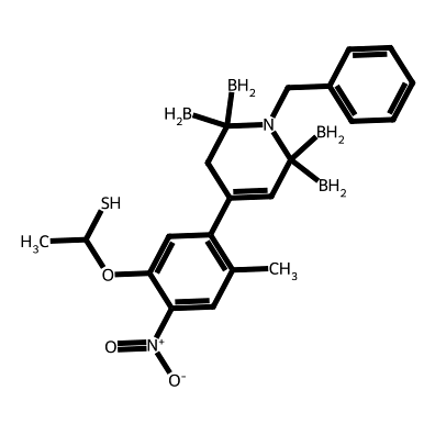 BC1(B)C=C(c2cc(OC(C)S)c([N+](=O)[O-])cc2C)CC(B)(B)N1Cc1ccccc1